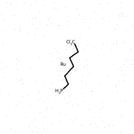 PCCCCCC(Cl)(Cl)Cl.[Ru]